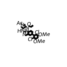 C=CC(=O)N[C@H]1CN(C(C)=O)C[C@H]1Nc1ncc2cc(-c3c(Cl)c(OC)cc(OC)c3Cl)ccc2n1